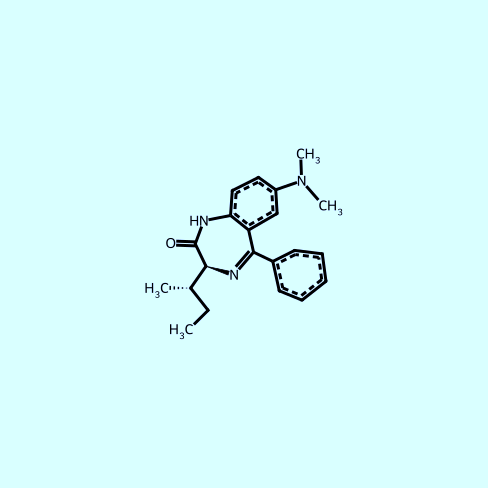 CC[C@H](C)[C@@H]1N=C(c2ccccc2)c2cc(N(C)C)ccc2NC1=O